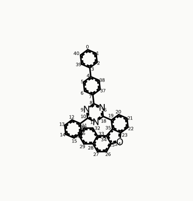 c1ccc(-c2ccc(-c3nc(-c4ccccc4)nc(-c4cccc5oc6ccc7ccccc7c6c45)n3)cc2)cc1